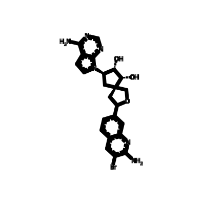 Nc1nc2cc(C3C[C@@]4(CO3)C[C@@H](n3ccc5c(N)ncnc53)[C@H](O)[C@@H]4O)ccc2cc1Br